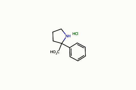 Cl.O=C(O)C1(c2ccccc2)CCCN1